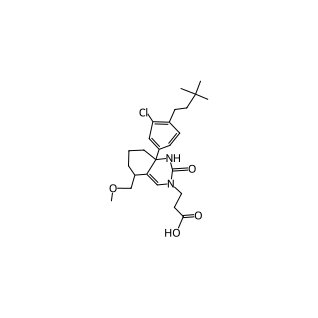 COCC1CCCC2(c3ccc(CCC(C)(C)C)c(Cl)c3)NC(=O)N(CCC(=O)O)C=C12